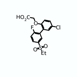 CCS(=O)(=O)c1ccc(F)c(-c2cc(Cl)ccc2OCC(=O)O)c1